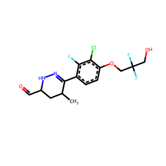 CC1CC(C=O)NN=C1c1ccc(OCC(F)(F)CO)c(Cl)c1F